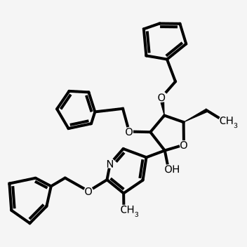 CC[C@H]1OC(O)(c2cnc(OCc3ccccc3)c(C)c2)C(OCc2ccccc2)[C@H]1OCc1ccccc1